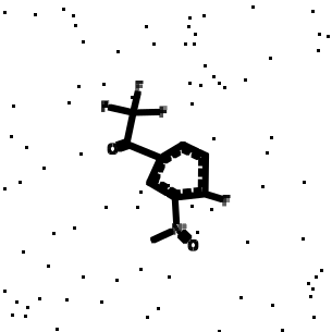 C[N+](=O)c1cc(C(=O)C(F)(F)F)ccc1F